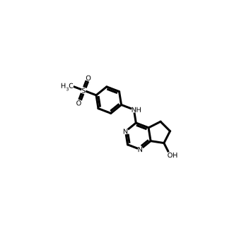 CS(=O)(=O)c1ccc(Nc2ncnc3c2CCC3O)cc1